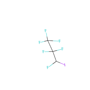 FC(I)C(F)(F)C(F)(F)F